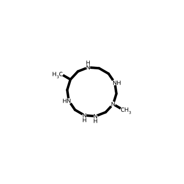 CC1CNCCNCN(C)CNNCNC1